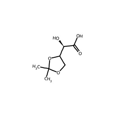 CC1(C)OCC([C@@H](O)C(=O)O)O1